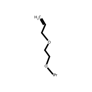 C=CCOCCOC(C)C